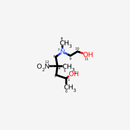 CC(O)CC(C)(CN(C)CCO)[N+](=O)[O-]